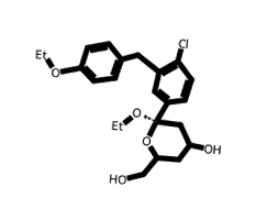 CCOc1ccc(Cc2cc([C@@]3(OCC)CC(O)CC(CO)O3)ccc2Cl)cc1